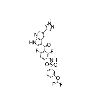 Cn1cc(-c2cnc3[nH]cc(C(=O)c4c(F)ccc(NS(=O)(=O)c5cccc(OC(F)F)c5)c4F)c3c2)cn1